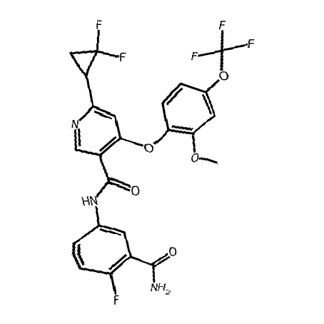 COc1cc(OC(F)(F)F)ccc1Oc1cc(C2CC2(F)F)ncc1C(=O)Nc1ccc(F)c(C(N)=O)c1